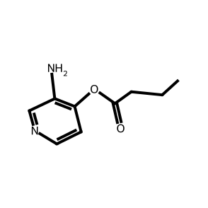 CCCC(=O)Oc1ccncc1N